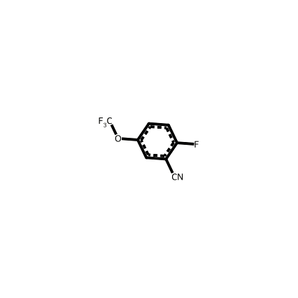 N#Cc1cc(OC(F)(F)F)ccc1F